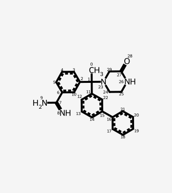 CC(c1cccc(C(=N)N)c1)(c1cccc(-c2ccccc2)c1)N1CCNC(=O)C1